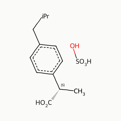 CC(C)Cc1ccc([C@H](C)C(=O)O)cc1.O=S(=O)(O)O